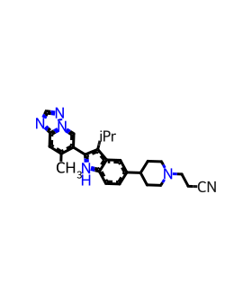 Cc1cc2ncnn2cc1-c1[nH]c2ccc(C3CCN(CCC#N)CC3)cc2c1C(C)C